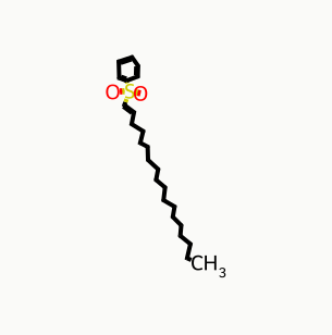 CCCCCCCCCCCCCCCCC=CS(=O)(=O)c1ccccc1